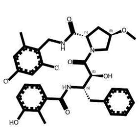 CO[C@@H]1C[C@@H](C(=O)NCc2c(C)cc(Cl)cc2Cl)N(C(=O)[C@@H](O)[C@H](Cc2ccccc2)NC(=O)c2cccc(O)c2C)C1